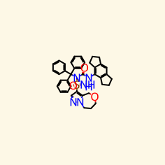 N=S(=O)(c1cnn2c1COCCC2)N(C(=O)Nc1c2c(cc3c1CCC3)CCC2)C(c1ccccc1)(c1ccccc1)c1ccccc1